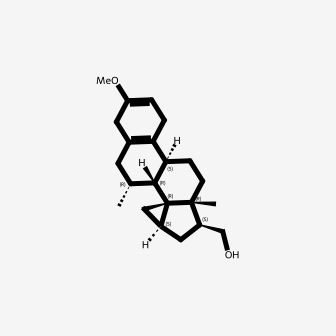 COC1=CCC2=C(C1)C[C@@H](C)[C@@H]1[C@@H]2CC[C@]2(C)[C@@H](CO)C[C@H]3C[C@@]312